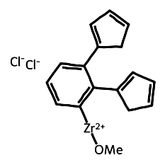 C[O][Zr+2][c]1cccc(C2=CC=CC2)c1C1=CC=CC1.[Cl-].[Cl-]